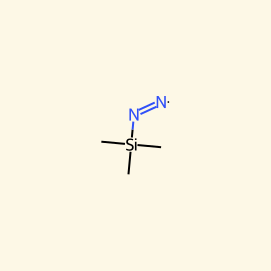 C[Si](C)(C)N=[N]